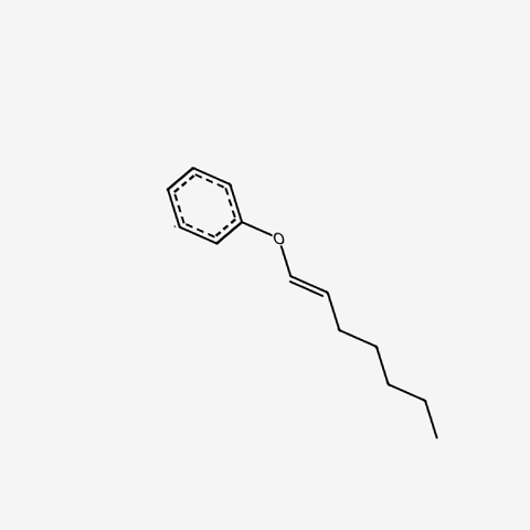 CCCCCC=COc1c[c]ccc1